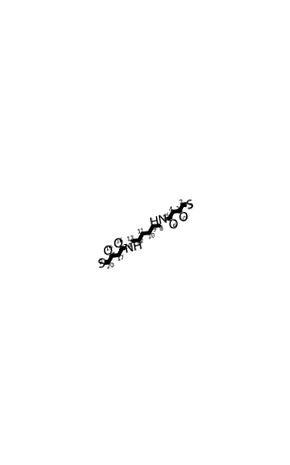 O=C(C=S)CC(=O)NCCCCCCNC(=O)CC(=O)C=S